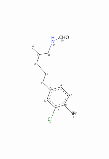 CC(CCCc1ccc(C(C)C)c(Cl)c1)CNC=O